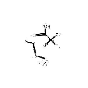 CCSC.O.O=C(O)C(F)(F)F